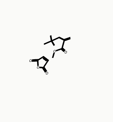 C=C(CC(C)(C)C)C(=O)OC.O=C1C=CC(=O)O1